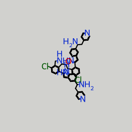 NC(Cc1ccncc1)c1ccc2[nH]c(-c3ccc(Cl)c4c3C(C(=O)C3NCc5c(Cl)ccc(-c6cc7cc(C(N)Cc8ccncc8)ccc7[nH]6)c53)NC4)cc2c1